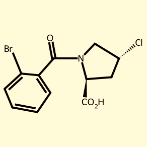 O=C(O)[C@@H]1C[C@@H](Cl)CN1C(=O)c1ccccc1Br